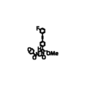 COC[C@@H]1[C@H](c2ccc(C#Cc3cccc(F)c3)cc2)[C@H]2CN(C(=O)C3CCOCC3)CC(=O)N12